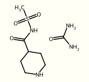 CS(=O)(=O)NC(=O)C1CCNCC1.NC(N)=O